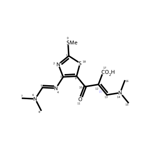 CSc1nc(N=CN(C)C)c(C(=O)/C(=C/N(C)C)C(=O)O)s1